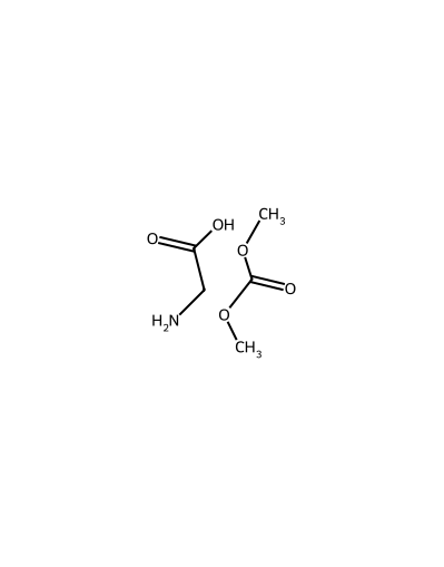 COC(=O)OC.NCC(=O)O